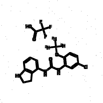 O=C(O)C(F)(F)F.[2H]C([2H])([2H])Oc1ccc(Cl)cc1NC(=O)Nc1cccc2c1CCN2